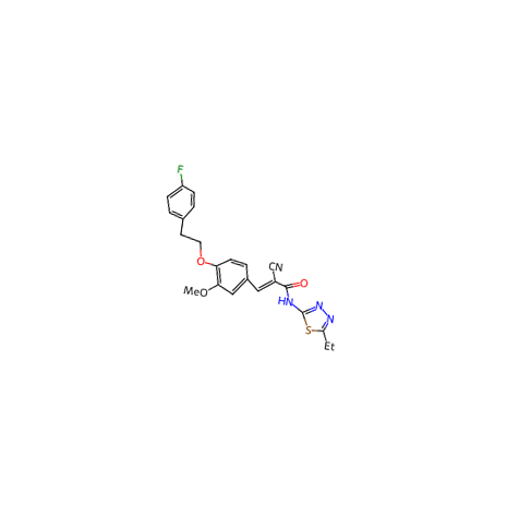 CCc1nnc(NC(=O)/C(C#N)=C/c2ccc(OCCc3ccc(F)cc3)c(OC)c2)s1